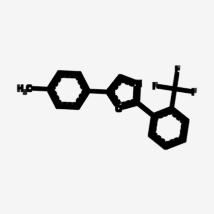 Cc1ccc(-c2cnc(-c3ccccc3C(F)(F)F)o2)cc1